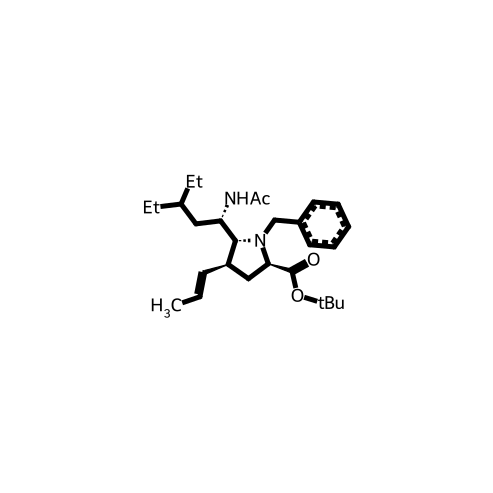 C/C=C/[C@@H]1C[C@H](C(=O)OC(C)(C)C)N(Cc2ccccc2)[C@H]1[C@H](CC(CC)CC)NC(C)=O